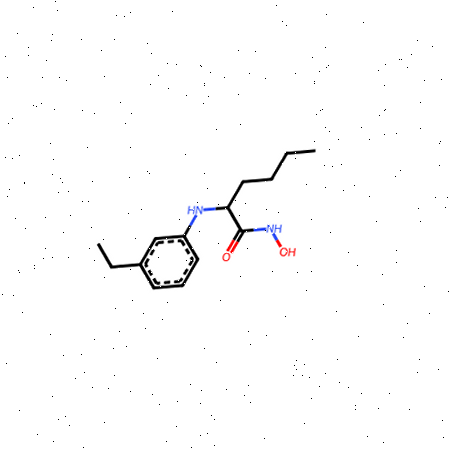 CCCCC(Nc1cccc(CC)c1)C(=O)NO